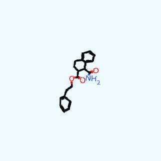 NC(=O)C1c2ccccc2CCC1C(=O)OCCc1ccccc1